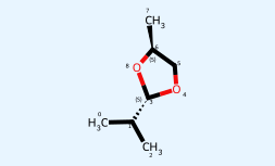 CC(C)[C@H]1OC[C@H](C)O1